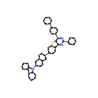 c1ccc(-c2ccc(-c3nc(-c4ccccc4)nc4c3sc3cc(-c5ccc6cc(-n7c8ccccc8c8ccccc87)ccc6c5)ccc34)cc2)cc1